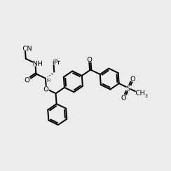 CC(C)C[C@H](OC(c1ccccc1)c1ccc(C(=O)c2ccc(S(C)(=O)=O)cc2)cc1)C(=O)NCC#N